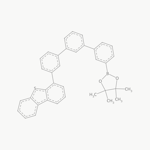 CC1(C)OB(c2cccc(-c3cccc(-c4cccc(-c5cccc6c5sc5ccccc56)c4)c3)c2)OC1(C)C